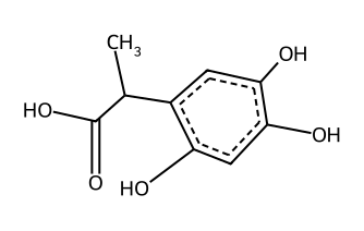 CC(C(=O)O)c1cc(O)c(O)cc1O